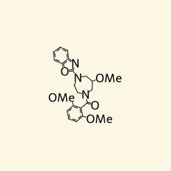 COc1cccc(OC)c1C(=O)N1CCN(c2nc3ccccc3o2)CC(OC)C1